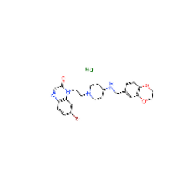 Cl.O=c1cnc2ccc(Br)cc2n1CCN1CCC(NCc2ccc3c(c2)OCCO3)CC1